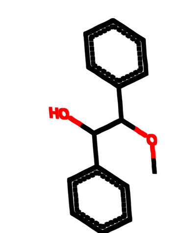 COC(c1ccccc1)C(O)c1ccccc1